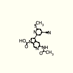 CSc1cc(C#N)cc(-c2cn(C(=O)O)c3cnc(NC(C)=O)cc23)n1